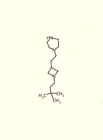 CC(C)(C)CCN1CC(CCN2CCNCC2)C1